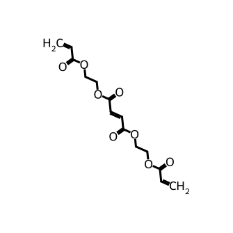 C=CC(=O)OCCOC(=O)C=CC(=O)OCCOC(=O)C=C